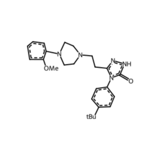 COc1ccccc1N1CCN(CCc2n[nH]c(=O)n2-c2ccc(C(C)(C)C)cc2)CC1